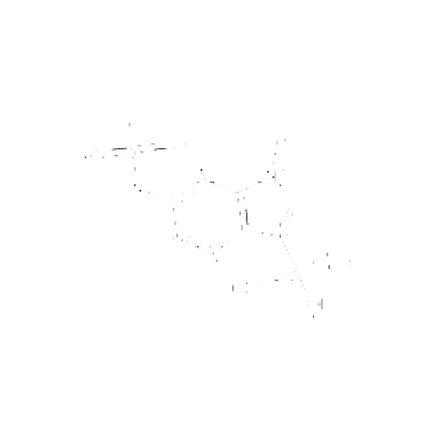 CCOC(=O)C(O)(c1cn(C)c2cc(NS(C)(=O)=O)ccc12)C(F)(F)F